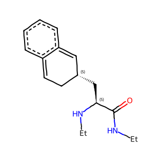 CCNC(=O)[C@H](C[C@H]1C=c2ccccc2=CC1)NCC